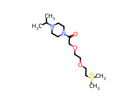 CC(C)N1CCN(C(=O)COCCOCC[SH](C)C)CC1